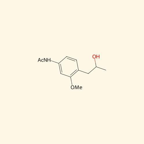 COc1cc(NC(C)=O)ccc1CC(C)O